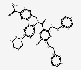 COC(=O)c1ccc(CN(C(=O)c2cc(C(C)C)c(OCc3ccccc3)cc2OCc2ccccc2)c2ccc(N3CCCCC3)cc2)cc1